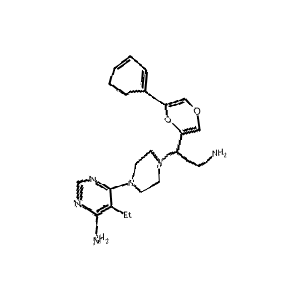 CCc1c(N)ncnc1N1CCN(C(CN)C2=COC=C(C3=CC=CCC3)O2)CC1